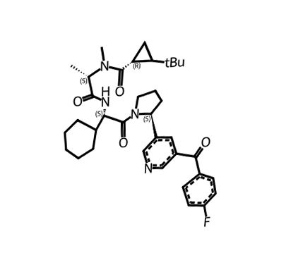 C[C@@H](C(=O)N[C@H](C(=O)N1CCC[C@H]1c1cncc(C(=O)c2ccc(F)cc2)c1)C1CCCCC1)N(C)C(=O)[C@@H]1CC1C(C)(C)C